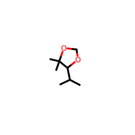 CC(C)C1OCOC1(C)C